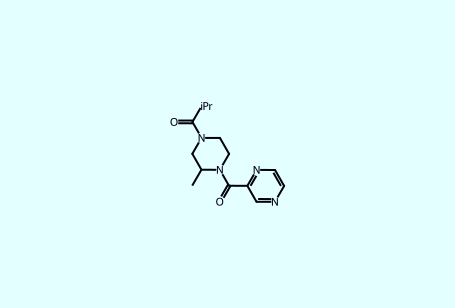 CC(C)C(=O)N1CCN(C(=O)c2cnccn2)C(C)C1